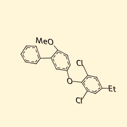 CCc1cc(Cl)c(Oc2ccc(OC)c(-c3ccccc3)c2)c(Cl)c1